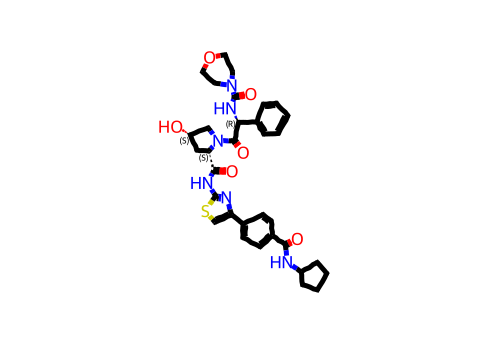 O=C(NC1CCCC1)c1ccc(-c2csc(NC(=O)[C@@H]3C[C@H](O)CN3C(=O)[C@H](NC(=O)N3CCOCC3)c3ccccc3)n2)cc1